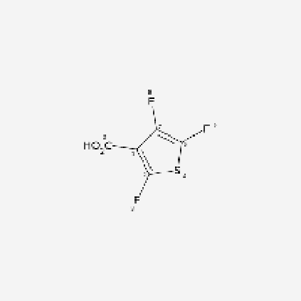 O=C(O)c1c(F)sc(F)c1F